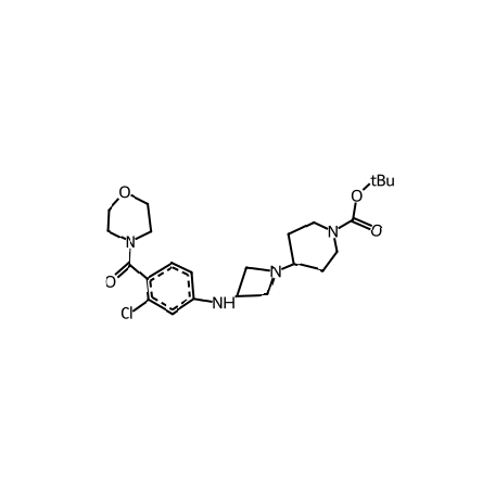 CC(C)(C)OC(=O)N1CCC(N2CC(Nc3ccc(C(=O)N4CCOCC4)c(Cl)c3)C2)CC1